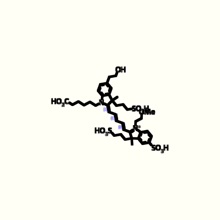 COCC[N+]1=C(/C=C/C=C/C=C2/N(CCCCCC(=O)O)c3ccc(CCO)cc3C2(C)CCCS(=O)(=O)O)C(C)(CCCS(=O)(=O)O)c2cc(S(=O)(=O)O)ccc21